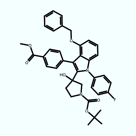 COC(=O)c1ccc(-c2c(C3(O)CCN(C(=O)OC(C)(C)C)C3)n(-c3ccc(F)cc3)c3cccc(OCc4ccccc4)c23)cc1